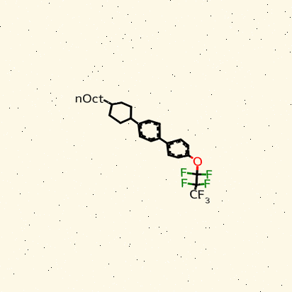 CCCCCCCCC1CCC(c2ccc(-c3ccc(OC(F)(F)C(F)(F)C(F)(F)F)cc3)cc2)CC1